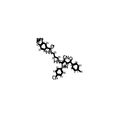 Cc1ccc(C(=O)c2nn(-c3ccc(Cl)cc3)c(NCCCNC(=O)c3ccc4snnc4c3)c2C#N)cc1